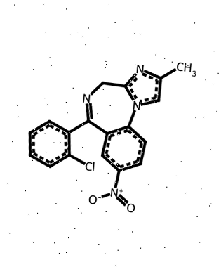 Cc1cn2c(n1)CN=C(c1ccccc1Cl)c1cc([N+](=O)[O-])ccc1-2